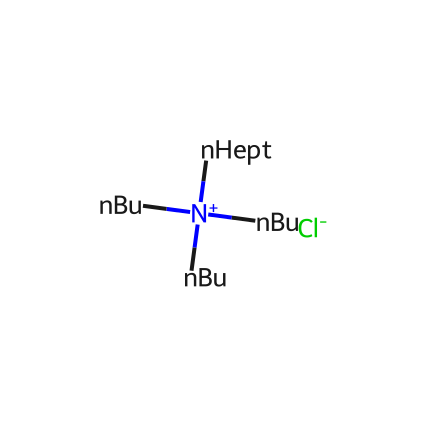 CCCCCCC[N+](CCCC)(CCCC)CCCC.[Cl-]